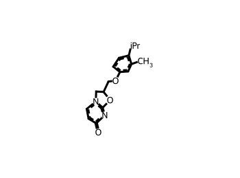 Cc1cc(OCC2Cn3ccc(=O)nc3O2)ccc1C(C)C